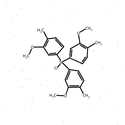 COc1cc([Si](Cl)(c2ccc(C)c(OC)c2)c2ccc(C)c(OC)c2)ccc1C